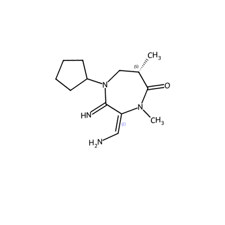 C[C@H]1CN(C2CCCC2)C(=N)/C(=C\N)N(C)C1=O